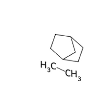 C1CC2CCC1C2.CC